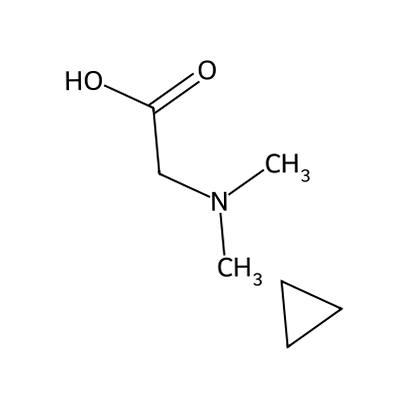 C1CC1.CN(C)CC(=O)O